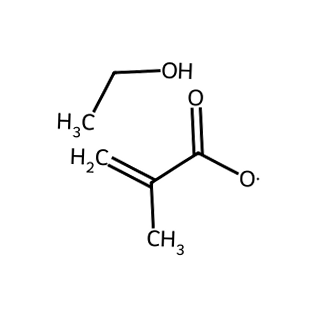 C=C(C)C([O])=O.CCO